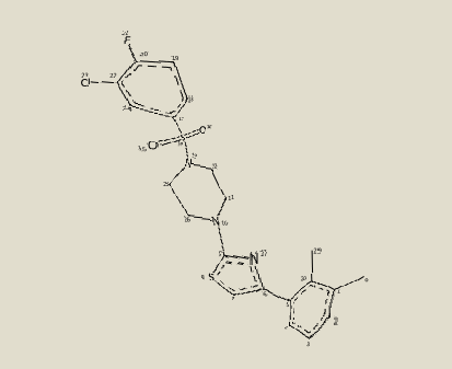 Cc1cccc(-c2csc(N3CCN(S(=O)(=O)c4ccc(F)c(Cl)c4)CC3)n2)c1C